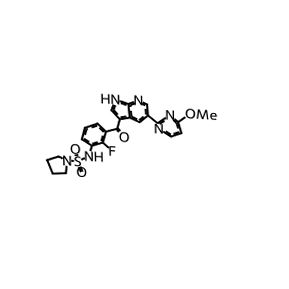 COc1ccnc(-c2cnc3[nH]cc(C(=O)c4cccc(NS(=O)(=O)N5CCCC5)c4F)c3c2)n1